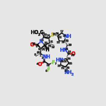 C[C@@H](NC(=O)C(F)F)[C@H]1C(=O)N2C(C(=O)O)=C(S[C@@H]3CN[C@H](CNC(=O)[C@@H]4C[C@H](N)CN4)C3)[C@H](C)[C@H]12